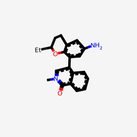 CCC1CCc2cc(N)cc(-c3cn(C)c(=O)c4ccccc34)c2O1